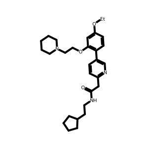 CCOc1ccc(-c2ccc(CC(=O)NCCC3CCCC3)nc2)c(OCCN2CCCCC2)c1